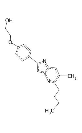 CCCCc1nn2cc(-c3ccc(OCCO)cc3)nc2cc1C